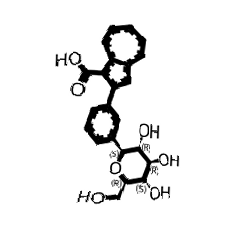 O=C(O)c1c2cccccc-2cc1-c1cccc([C@@H]2O[C@H](CO)[C@@H](O)[C@H](O)[C@H]2O)c1